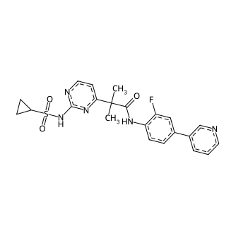 CC(C)(C(=O)Nc1ccc(-c2cccnc2)cc1F)c1ccnc(NS(=O)(=O)C2CC2)n1